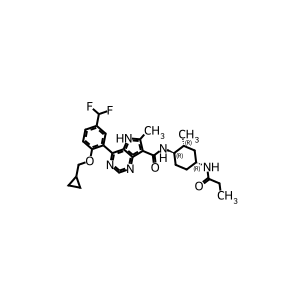 CCC(=O)N[C@@H]1CC[C@@H](NC(=O)c2c(C)[nH]c3c(-c4cc(C(F)F)ccc4OCC4CC4)ncnc23)[C@H](C)C1